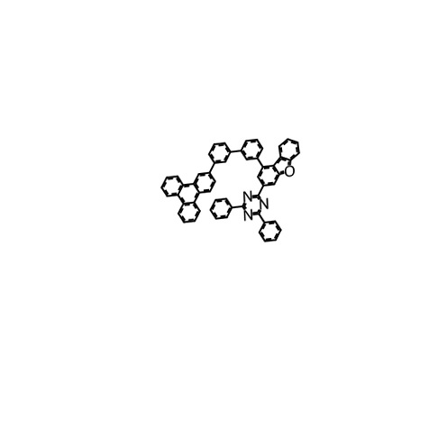 c1ccc(-c2nc(-c3ccccc3)nc(-c3cc(-c4cccc(-c5cccc(-c6ccc7c8ccccc8c8ccccc8c7c6)c5)c4)c4c(c3)oc3ccccc34)n2)cc1